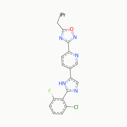 CC(C)Cc1nc(-c2ccc(-c3cnc(-c4c(F)cccc4Cl)[nH]3)cn2)no1